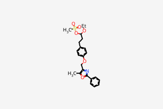 CCOC(CCc1ccc(OCc2nc(-c3ccccc3)oc2C)cc1)OS(C)(=O)=O